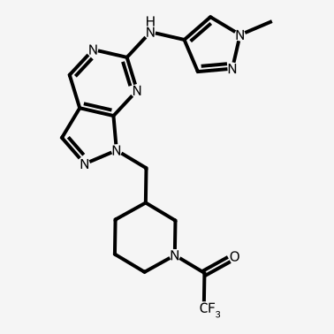 Cn1cc(Nc2ncc3cnn(CC4CCCN(C(=O)C(F)(F)F)C4)c3n2)cn1